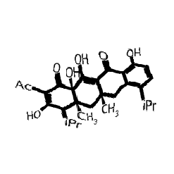 CC(=O)C1=C(O)C(C(C)C)[C@@]2(C)C[C@@]3(C)Cc4c(C(C)C)ccc(O)c4C(=O)C3=C(O)[C@@]2(O)C1=O